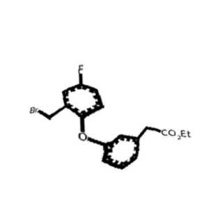 CCOC(=O)Cc1cccc(Oc2ccc(F)cc2CBr)c1